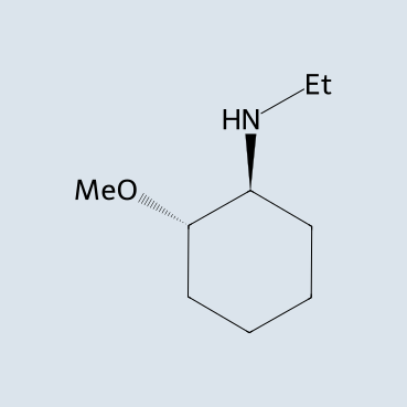 CCN[C@H]1CCCC[C@@H]1OC